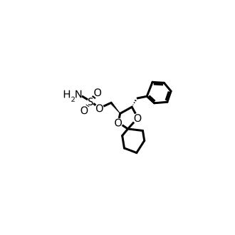 NS(=O)(=O)OC[C@@H]1OC2(CCCCC2)O[C@H]1Cc1ccccc1